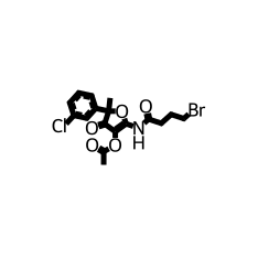 CC(=O)OC1=C(NC(=O)CCCBr)OC(C)(c2cccc(Cl)c2)C1=O